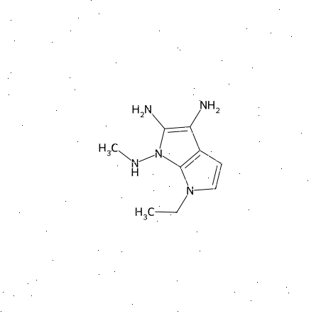 CCn1ccc2c(N)c(N)n(NC)c21